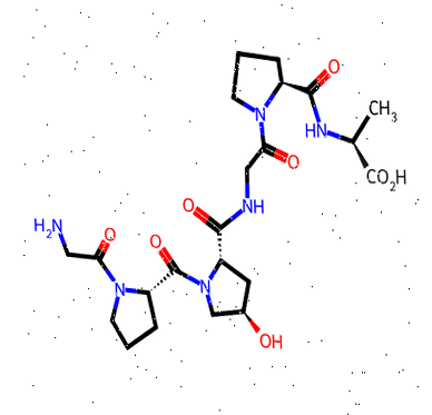 C[C@H](NC(=O)[C@@H]1CCCN1C(=O)CNC(=O)[C@@H]1C[C@@H](O)CN1C(=O)[C@@H]1CCCN1C(=O)CN)C(=O)O